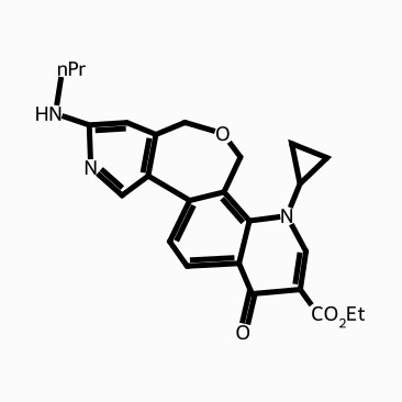 CCCNc1cc2c(cn1)-c1ccc3c(=O)c(C(=O)OCC)cn(C4CC4)c3c1COC2